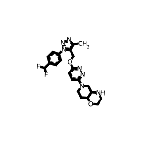 Cc1nnn(-c2ccc(C(F)F)cc2)c1COc1ccc(N2CCC3OCCNC3C2)nn1